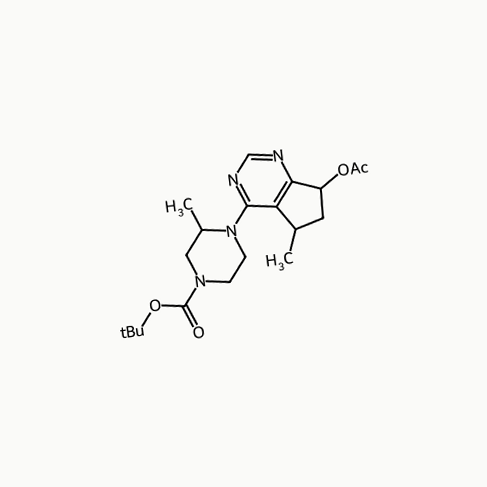 CC(=O)OC1CC(C)c2c1ncnc2N1CCN(C(=O)OC(C)(C)C)CC1C